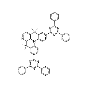 CC1(C)C2=CC=NC3C2N(c2ccc(-c4nc(-c5ccccc5)nc(-c5ccccc5)n4)cc21)c1ccc(-c2nc(-c4ccccc4)nc(-c4ccccc4)n2)cc1C3(C)C